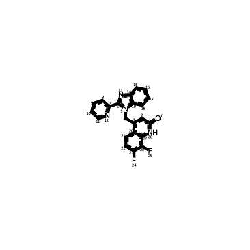 O=c1cc(Cn2c(-c3ccccn3)nc3ccccc32)c2ccc(F)c(F)c2[nH]1